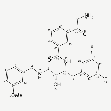 COc1cccc(CNC[C@@H](O)[C@@H](Cc2cc(F)cc(F)c2)NC(=O)c2cccc(C(=O)CN)c2)c1